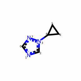 [c]1ncn(C2CC2)n1